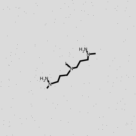 CN(N)CCCN(I)CCCN(C)N